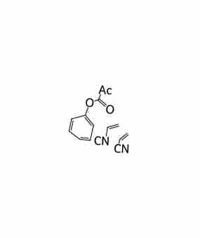 C=CC#N.C=CC#N.CC(=O)C(=O)Oc1ccccc1